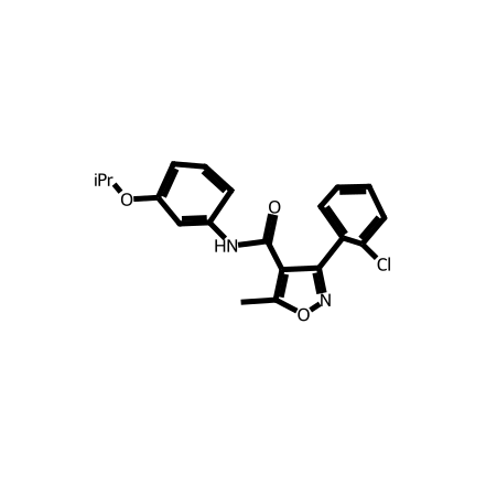 Cc1onc(-c2ccccc2Cl)c1C(=O)Nc1cccc(OC(C)C)c1